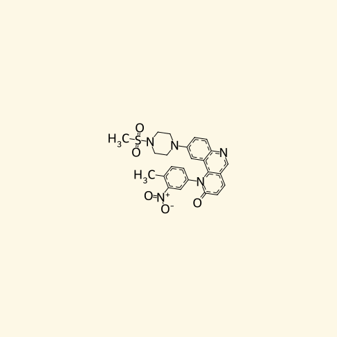 Cc1ccc(-n2c(=O)ccc3cnc4ccc(N5CCN(S(C)(=O)=O)CC5)cc4c32)cc1[N+](=O)[O-]